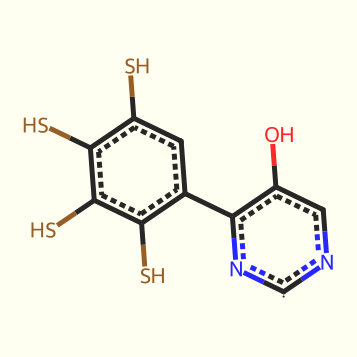 Oc1cn[c]nc1-c1cc(S)c(S)c(S)c1S